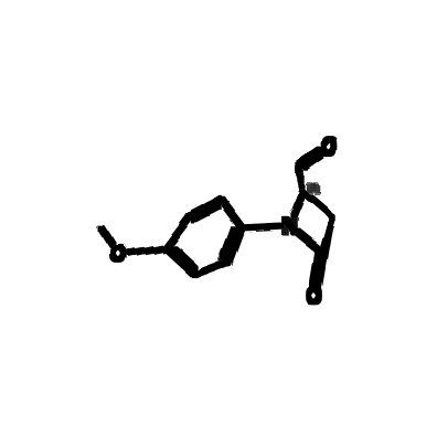 COc1ccc(N2C(=O)C[C@@H]2C=O)cc1